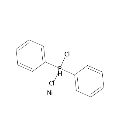 Cl[PH](Cl)(c1ccccc1)c1ccccc1.[Ni]